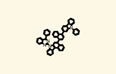 c1ccc(-c2nc(-n3c4ccccc4c4c5ccccc5c(-c5ccc(-c6ccc7c8ccccc8n(-c8ccccc8)c7c6)c6ccccc56)cc43)nc3ccccc23)cc1